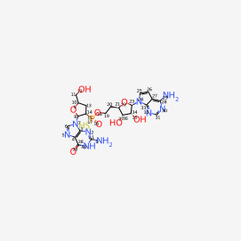 Nc1nc2c(ncn2C2OC(CO)C[C@H]2P(=O)(S)OCC[C@H]2O[C@@H](n3ccc4c(N)ncnc43)[C@H](O)[C@@H]2O)c(=O)[nH]1